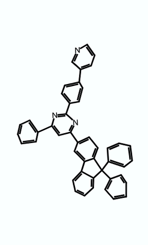 c1ccc(-c2cc(-c3ccc4c(c3)-c3ccccc3C4(c3ccccc3)c3ccccc3)nc(-c3ccc(-c4cccnc4)cc3)n2)cc1